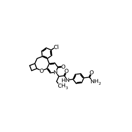 CCC(C(=O)Nc1ccc(C(N)=O)cc1)n1cc2c(cc1=O)-c1cc(Cl)ccc1CC1CCC1O2